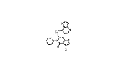 C[C@H](Nc1ccnc2ccnn12)c1cc2scc(Cl)c2c(=O)n1-c1ccccc1